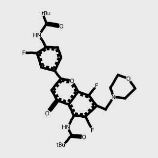 CC(C)(C)C(=O)Nc1ccc(-c2cc(=O)c3c(NC(=O)C(C)(C)C)c(F)c(CN4CCOCC4)c(F)c3o2)cc1F